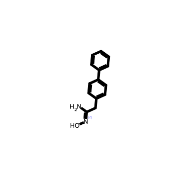 N/C(Cc1ccc(-c2ccccc2)cc1)=N\O